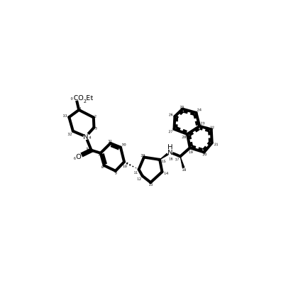 CCOC(=O)C1CCN(C(=O)C2=CCC([C@H]3CCC[C@H](N[C@H](C)c4cccc5ccccc45)C3)C=C2)CC1